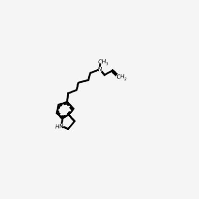 C=CCN(C)CCCCCc1ccc2c(c1)CCN2